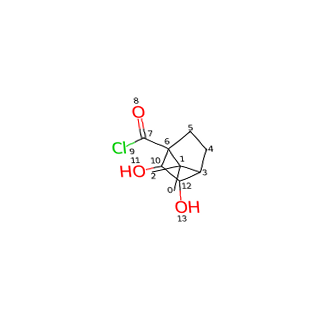 CC1(C)C2CCC1(C(=O)Cl)C(O)C2O